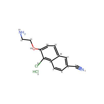 Cl.N#Cc1ccc2c(Cl)c(OCCN)ccc2c1